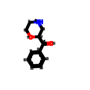 O=C([C]1CNCCO1)c1ccccc1